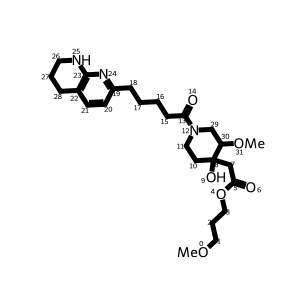 COCCCOC(=O)CC1(O)CCN(C(=O)CCCCc2ccc3c(n2)NCCC3)CC1OC